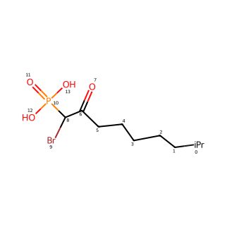 CC(C)CCCCCC(=O)C(Br)P(=O)(O)O